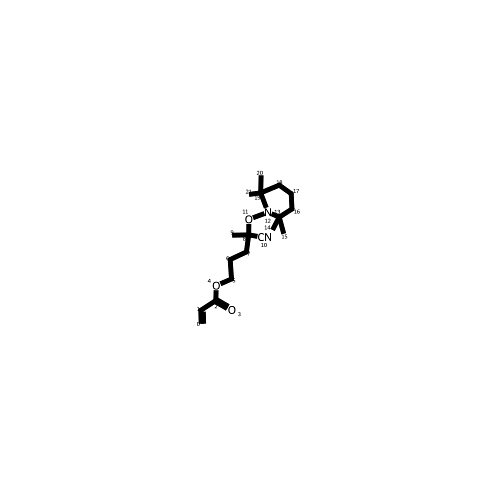 C=CC(=O)OCCCC(C)(C#N)ON1C(C)(C)CCCC1(C)C